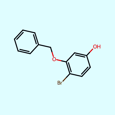 Oc1ccc(Br)c(OCc2ccccc2)c1